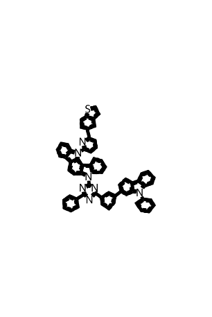 c1ccc(-c2nc(-c3cccc(-c4ccc5c6ccccc6n(-c6ccccc6)c5c4)c3)nc(-n3c4ccccc4c4c3ccc3c5ccccc5n(-c5cccc(-c6ccc7sccc7c6)n5)c34)n2)cc1